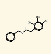 Oc1c(Cl)ccc(CNOCc2ccccc2)c1Cl